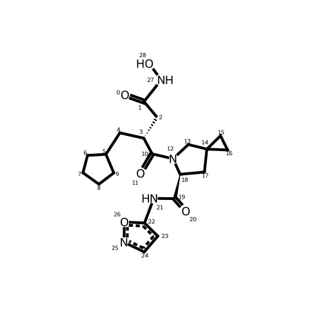 O=C(C[C@@H](CC1CCCC1)C(=O)N1CC2(CC2)C[C@H]1C(=O)Nc1ccno1)NO